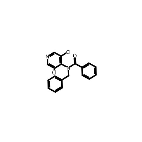 O=C(c1ccccc1)N(Cc1ccccc1)c1c(Cl)cncc1Cl